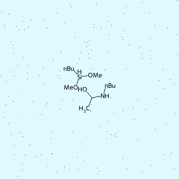 CCCCNC(C)O.CCCC[SiH](OC)OC